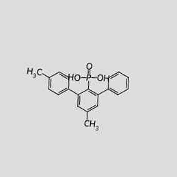 Cc1ccc(-c2cc(C)cc(-c3ccccc3)c2P(=O)(O)O)cc1